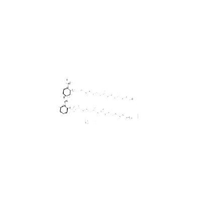 CCCCCCCCCCCCCCCCOc1ccccc1C(=O)[O-].CCCCCCCCCCCCCCCCOc1ccccc1C(=O)[O-].[Ba+2]